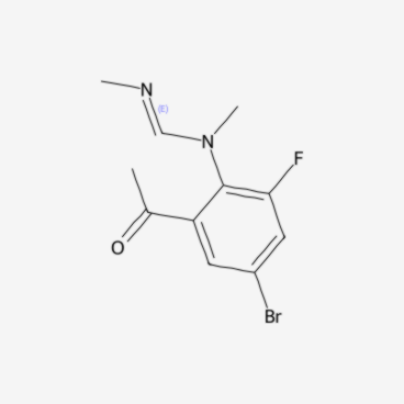 C/N=C/N(C)c1c(F)cc(Br)cc1C(C)=O